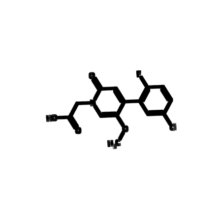 COc1cn(CC(=O)O)c(=O)cc1-c1cc(Cl)ccc1F